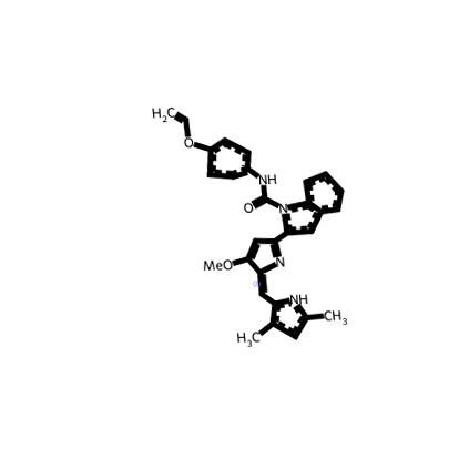 C=COc1ccc(NC(=O)n2c(C3=N/C(=C\c4[nH]c(C)cc4C)C(OC)=C3)cc3ccccc32)cc1